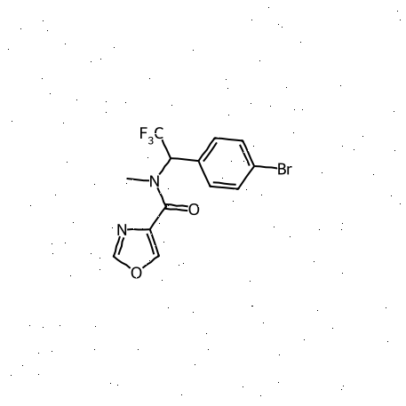 CN(C(=O)c1cocn1)C(c1ccc(Br)cc1)C(F)(F)F